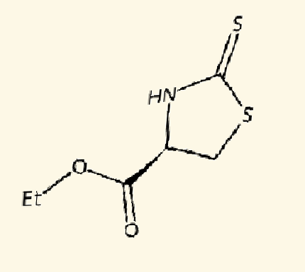 CCOC(=O)[C@@H]1CSC(=S)N1